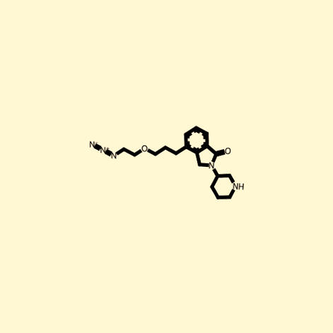 [N-]=[N+]=NCCOCCCc1cccc2c1CN(C1CCCNC1)C2=O